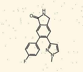 Cn1ccc(-c2cc3c(cc2-c2ccc(F)cc2)C(=O)NC3)n1